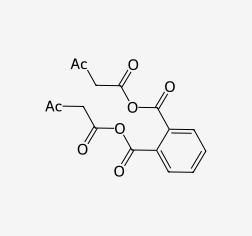 CC(=O)CC(=O)OC(=O)c1ccccc1C(=O)OC(=O)CC(C)=O